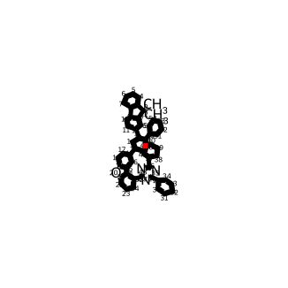 CC1(C)c2ccccc2-c2ccc(-c3cc(-c4ccc5oc6cccc(-c7nc(-c8ccccc8)nc(-c8ccccc8)n7)c6c5c4)ccc3-c3ccccc3)cc21